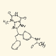 CC(=O)Nc1ccc(C(Cc2ccccc2)c2nc3c([nH]2)c(=O)[nH]c(=O)n3C)cc1